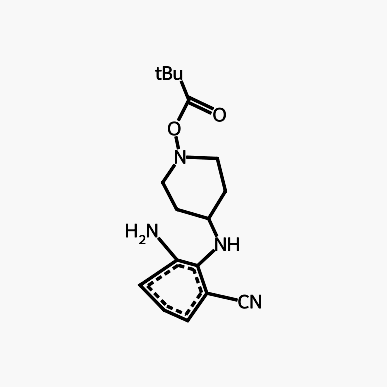 CC(C)(C)C(=O)ON1CCC(Nc2c(N)cccc2C#N)CC1